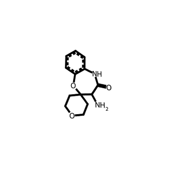 NC1C(=O)Nc2ccccc2OC12CCOCC2